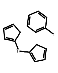 C1=CC[C]([Ti][C]2=CC=CC2)=C1.Ic1ccccc1